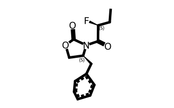 CC[C@H](F)C(=O)N1C(=O)OC[C@@H]1Cc1ccccc1